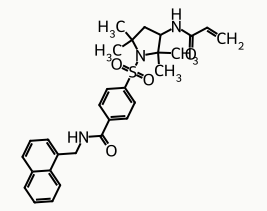 C=CC(=O)NC1CC(C)(C)N(S(=O)(=O)c2ccc(C(=O)NCc3cccc4ccccc34)cc2)C1(C)C